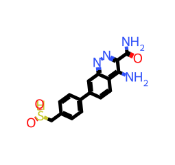 NC(=O)c1nnc2cc(-c3ccc(C[SH](=O)=O)cc3)ccc2c1N